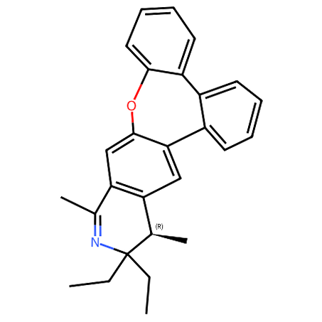 CCC1(CC)N=C(C)c2cc3c(cc2[C@H]1C)-c1ccccc1-c1ccccc1O3